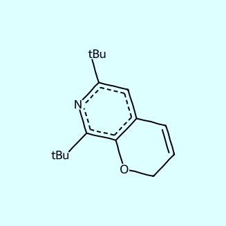 CC(C)(C)c1cc2c(c(C(C)(C)C)n1)OCC=C2